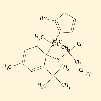 CC1=CCC(S[Si](C)(C)C)([Si](C)(C)C2=[C]([Ti+2])CC=C2)C(C(C)(C)C)=C1.[Cl-].[Cl-]